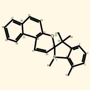 Cc1cccc2c1N(C)C1(C=Cc3c(ccc4ccccc34)O1)C2(C)C